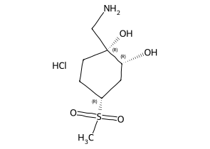 CS(=O)(=O)[C@@H]1CC[C@@](O)(CN)[C@H](O)C1.Cl